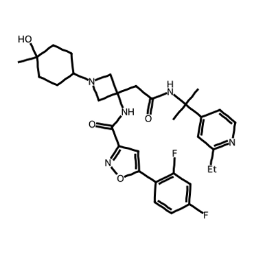 CCc1cc(C(C)(C)NC(=O)CC2(NC(=O)c3cc(-c4ccc(F)cc4F)on3)CN(C3CCC(C)(O)CC3)C2)ccn1